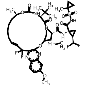 CC[C@@H]1[C@@H]2CN(C(=O)[C@H](C(C)(C)C)NC(=O)O[C@H](C)CCCC/C=C/C(F)(F)c3nc4ccc(OC)cc4nc3O2)[C@@H]1C(=O)N[C@]1(C(=O)NS(=O)(=O)C2(C)CC2)C[C@H]1C(F)F